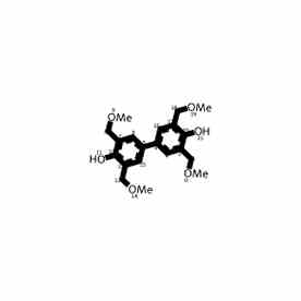 COCc1cc(-c2cc(COC)c(O)c(COC)c2)cc(COC)c1O